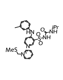 CSC[n+]1ccccc1.Cc1cccc(Nc2ccncc2S(=O)(=O)NC(=O)NC(C)C)c1